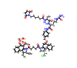 CC(C)[C@H](NC(=O)CCCCCN1C(=O)C=CC1=O)C(=O)N[C@@H](CCCNC(N)=O)C(=O)Nc1ccc(COc2cc3c(c4ccccc24)[C@H](CCl)CN3C(=O)CCCC(=O)N2c3c(C(C)(C)C)c(OP(=O)(O)O)c4ccccc4c3C(CCl)[C@H]2C(C)(C)C)cc1